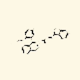 O=C(O)COc1ccc(Cl)cc1[C@@H]1c2ccccc2CCN1OC(=O)OCc1noc2ccccc12